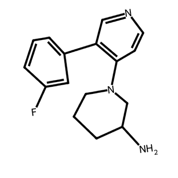 NC1CCCN(c2ccncc2-c2cccc(F)c2)C1